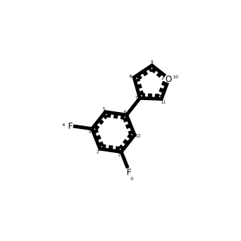 Fc1cc(F)cc(-c2c[c]oc2)c1